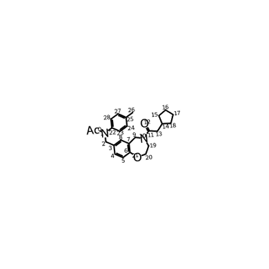 CC(=O)N(Cc1ccc2c(c1)CN(C(=O)CC1CCCC1)CCO2)c1ccc(C)cc1